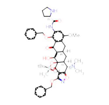 COc1cc(NC(=O)[C@@H]2CCCN2)c(OCc2ccccc2)c2c1C[C@H]1C[C@H]3[C@H](N(C)C)c4onc(OCc5ccccc5)c4C(=O)C3(O[Si](C)(C)C(C)(C)C)C(O)=C1C2=O